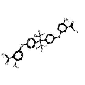 NC(=O)c1cc(Oc2ccc(C(c3ccc(Oc4ccc(N)c(C(N)=O)c4)cc3)(C(F)(F)F)C(F)(F)F)cc2)ccc1N